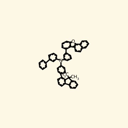 CC1(C)c2ccccc2-c2cccc(-c3ccc(N(c4cccc(-c5ccccc5)c4)c4cccc(-c5cccc6oc7c8ccccc8ccc7c56)c4)cc3)c21